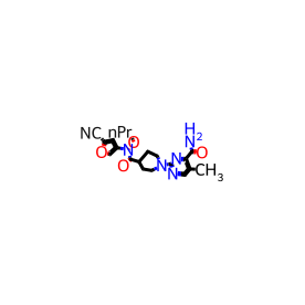 CCCON(C(=O)C1CCN(c2ncc(C)c(C(N)=O)n2)CC1)c1coc(C#N)c1